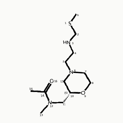 CSCNCCN1CCO[C@H](CN(C)C(C)=O)C1